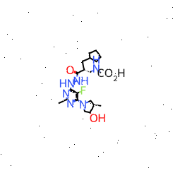 Cc1nc(NNC(=O)[C@@H](CNC(=O)O)CC2CCCC2)c(F)c(N2C[C@@H](C)[C@@H](O)C2)n1